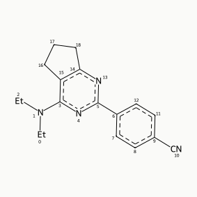 CCN(CC)c1nc(-c2ccc(C#N)cc2)nc2c1CCC2